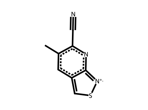 Cc1cc2c(nc1C#N)=[N+]SC=2